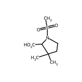 CC1(C)CCN(S(C)(=O)=O)C1C(=O)O